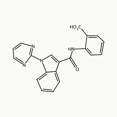 O=C(O)c1ccccc1NC(=O)c1cn(-c2ncccn2)c2ccccc12